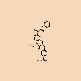 CN1C(=O)C(Cc2ccc(C(=O)O)cc2)Cc2cc(C(=O)NCc3cccnc3)ncc21